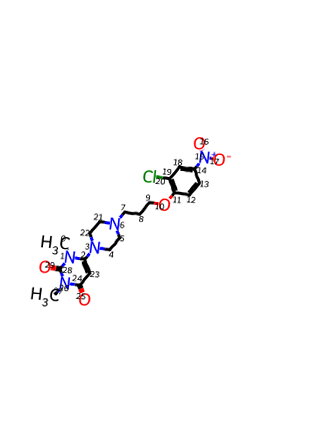 Cn1c(N2CCN(CCCOc3ccc([N+](=O)[O-])cc3Cl)CC2)cc(=O)n(C)c1=O